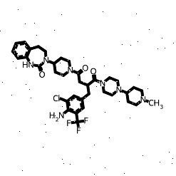 CN1CCC(N2CCN(C(=O)C(CC(=O)N3CCC(N4CCc5ccccc5NC4=O)CC3)Cc3cc(Cl)c(N)c(C(F)(F)F)c3)CC2)CC1